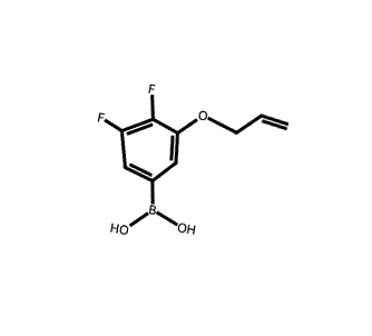 C=CCOc1cc(B(O)O)cc(F)c1F